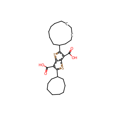 O=C(O)c1c(C2CCCCCCCCCCC2)sc2c(C(=O)O)c(C3CCCCCCCC3)sc12